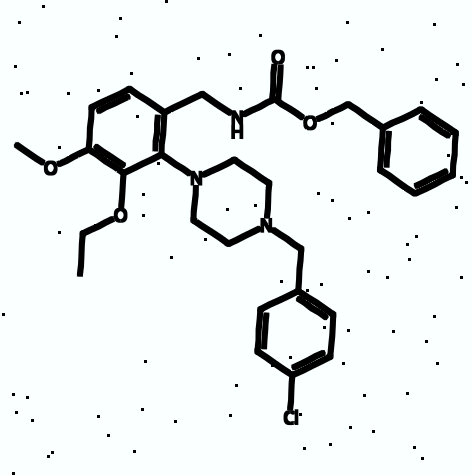 CCOc1c(OC)ccc(CNC(=O)OCc2ccccc2)c1N1CCN(Cc2ccc(Cl)cc2)CC1